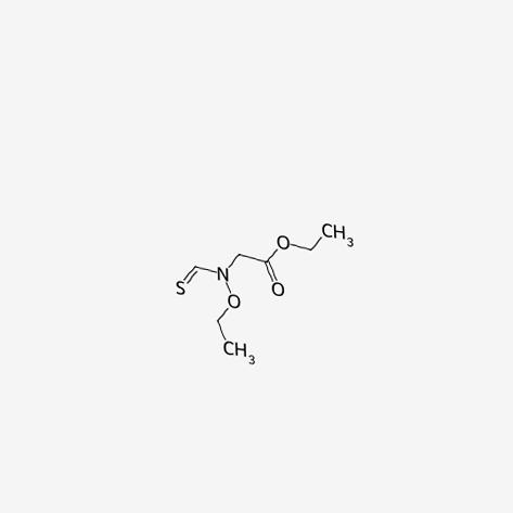 CCOC(=O)CN(C=S)OCC